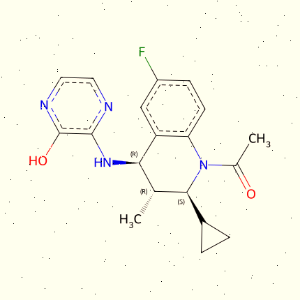 CC(=O)N1c2ccc(F)cc2[C@H](Nc2nccnc2O)[C@@H](C)[C@@H]1C1CC1